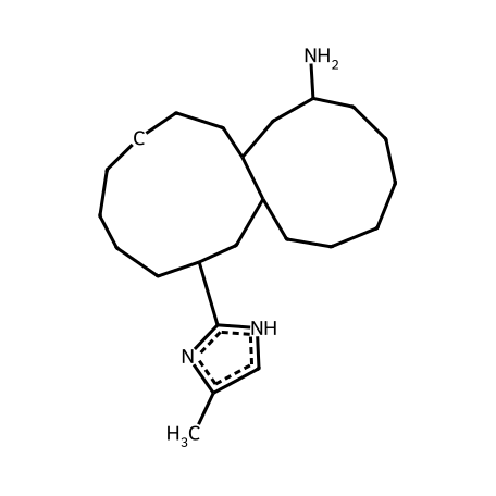 Cc1c[nH]c(C2CCCCCCCC3CC(N)CCCCCCC3C2)n1